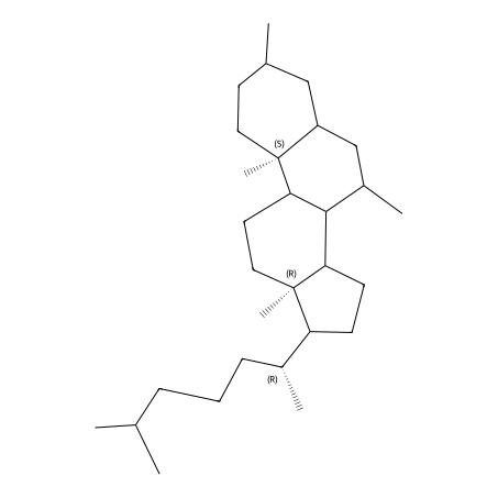 CC(C)CCC[C@@H](C)C1CCC2C3C(C)CC4CC(C)CC[C@]4(C)C3CC[C@@]21C